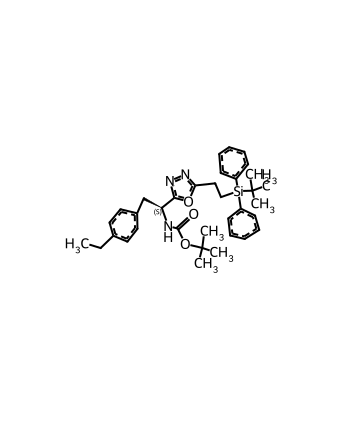 CCc1ccc(C[C@H](NC(=O)OC(C)(C)C)c2nnc(CC[Si](c3ccccc3)(c3ccccc3)C(C)(C)C)o2)cc1